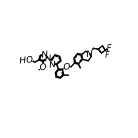 COc1c(CO)cnn1-c1cccc(-c2cccc(C)c2OCc2ccc3c(c2C)CCN(CC2CC(F)(F)C2)C3)n1